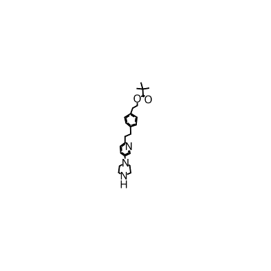 CC(C)(C)C(=O)OCCc1ccc(CCc2ccc(N3CCNCC3)cn2)cc1